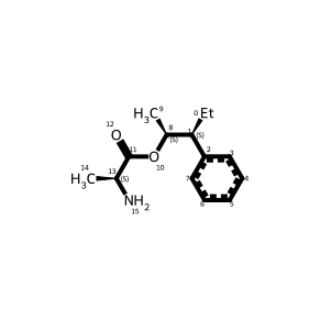 CC[C@@H](c1ccccc1)[C@H](C)OC(=O)[C@H](C)N